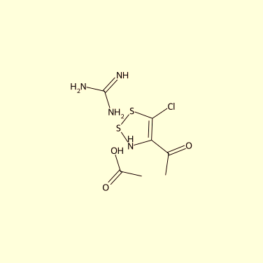 CC(=O)C1=C(Cl)SSN1.CC(=O)O.N=C(N)N